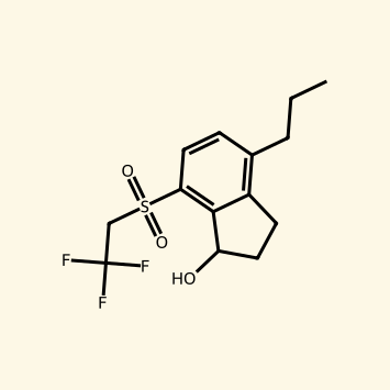 CCCc1ccc(S(=O)(=O)CC(F)(F)F)c2c1CCC2O